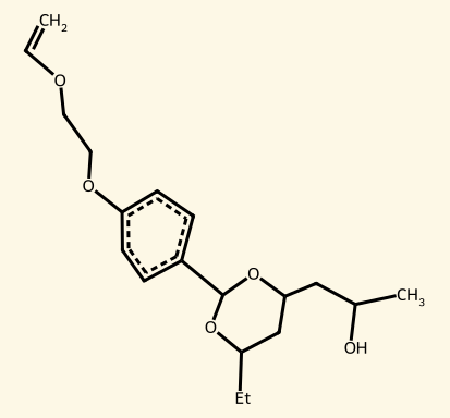 C=COCCOc1ccc(C2OC(CC)CC(CC(C)O)O2)cc1